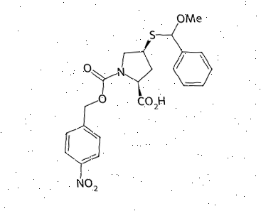 COC(S[C@H]1C[C@@H](C(=O)O)N(C(=O)OCc2ccc([N+](=O)[O-])cc2)C1)c1ccccc1